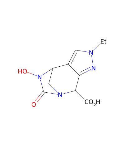 CCn1cc2c(n1)C(C(=O)O)N1CC2N(O)C1=O